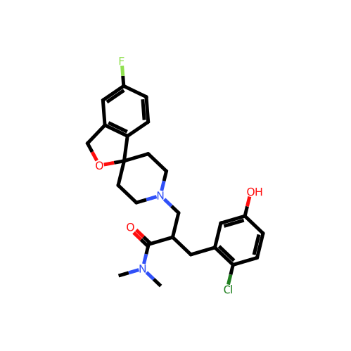 CN(C)C(=O)C(Cc1cc(O)ccc1Cl)CN1CCC2(CC1)OCc1cc(F)ccc12